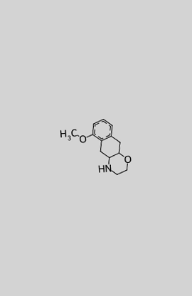 COc1cccc2c1CC1NCCOC1C2